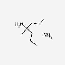 CCCC(C)(N)CCC.N